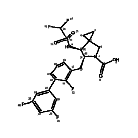 O=C(O)N1CC2(CC2)[C@H](NS(=O)(=O)C(F)F)[C@@H]1Cc1cccc(-c2cc(F)cc(F)c2)c1F